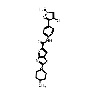 CC1CCN(c2nc3sc(C(=O)Nc4ccc(-c5nn(C)cc5Cl)cc4)cc3s2)CC1